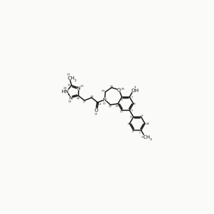 Cc1ccc(-c2cc(O)c3c(c2)CN(C(=O)CCc2n[nH]c(C)n2)CCO3)cc1